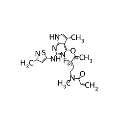 C=CC(=O)N(C)CC[C@@H](F)[C@H](C)Oc1nc(Nc2cc(C)ns2)nc2[nH]cc(C)c12